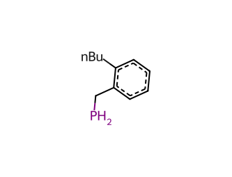 CCCCc1ccccc1CP